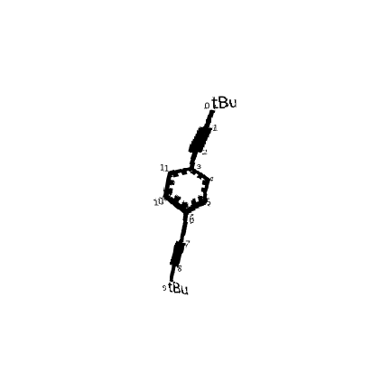 CC(C)(C)C#Cc1ccc(C#CC(C)(C)C)cc1